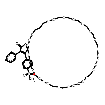 NS(=O)(=O)c1ccc(C2=C(c3ccccc3)C(=O)OC23CCCCCCCCCCCCCCCCCCCCCCCCCCCCCCCCCCCCCCCCC3)cc1